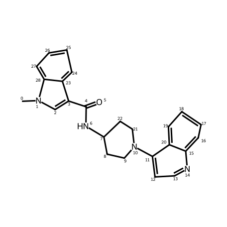 Cn1cc(C(=O)NC2CCN(c3ccnc4ccccc34)CC2)c2ccccc21